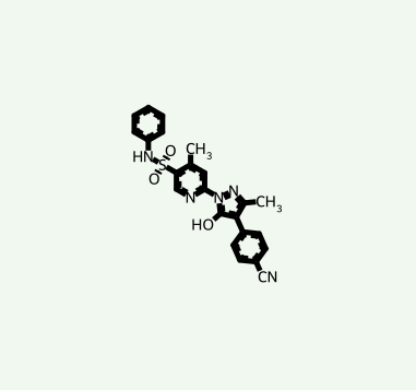 Cc1cc(-n2nc(C)c(-c3ccc(C#N)cc3)c2O)ncc1S(=O)(=O)Nc1ccccc1